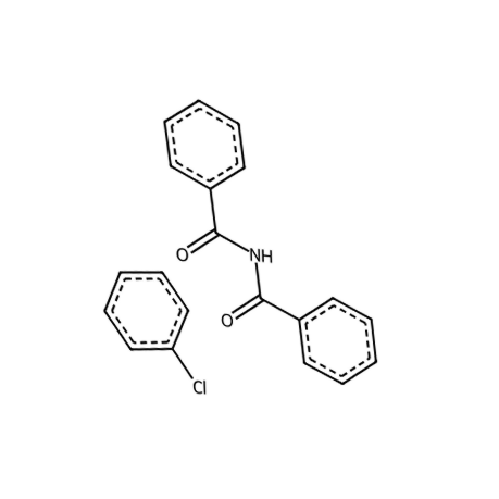 Clc1ccccc1.O=C(NC(=O)c1ccccc1)c1ccccc1